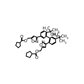 CC(C)(C)c1ccc(-c2cc(COC(=O)C3CCCC3)on2)c(-c2cc(-c3cc(COC(=O)C4CCCC4)on3)ccc2C(C)(C)C)c1